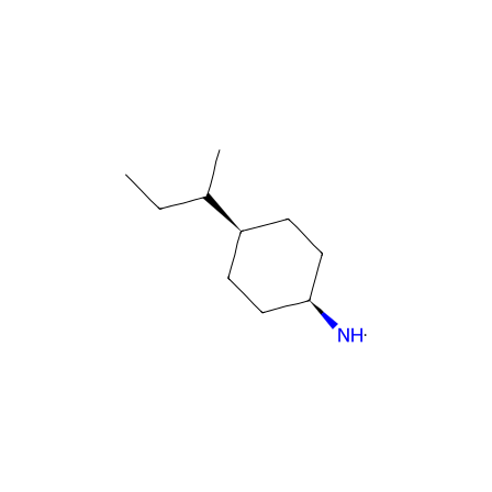 CCC(C)[C@H]1CC[C@@H]([NH])CC1